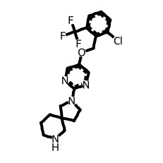 FC(F)(F)c1cccc(Cl)c1COc1cnc(N2CCC3(CCCNC3)C2)nc1